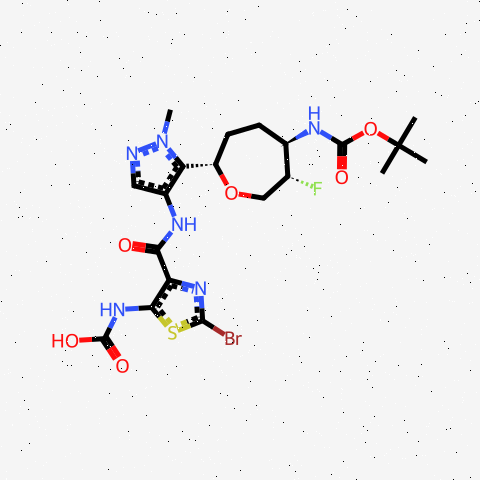 Cn1ncc(NC(=O)c2nc(Br)sc2NC(=O)O)c1[C@@H]1CC[C@@H](NC(=O)OC(C)(C)C)[C@H](F)CO1